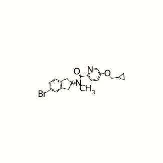 CN(C(=O)c1ccc(OCC2CC2)cn1)[C@@H]1Cc2ccc(Br)cc2C1